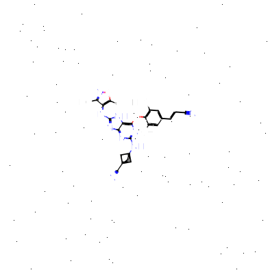 Cc1cc(/C=C/C#N)cc(C)c1Oc1nc(NC23CC(C#N)(C2)C3)nc2nc(Nc3c(C)noc3C)[nH]c12